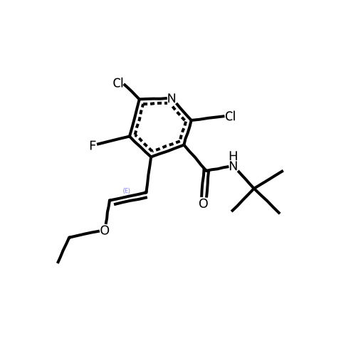 CCO/C=C/c1c(F)c(Cl)nc(Cl)c1C(=O)NC(C)(C)C